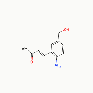 CCCC(=O)/C=C/c1cc(CO)ccc1N